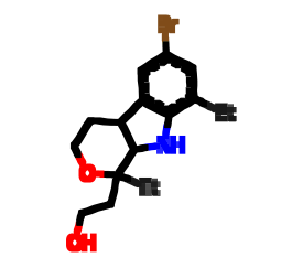 CCc1cc(Br)cc2c1NC1C2CCOC1(CC)CCO